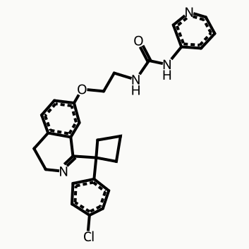 O=C(NCCOc1ccc2c(c1)C(C1(c3ccc(Cl)cc3)CCC1)=NCC2)Nc1cccnc1